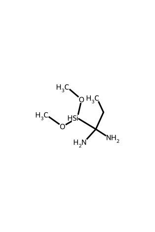 CCC(N)(N)[SiH](OC)OC